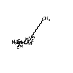 C#C[C@]1(CO)O[C@@H](C2C=Nc3c(nc(F)nc3NC(=O)CCCCCCCCCCCCC)CC2)C[C@@H]1C